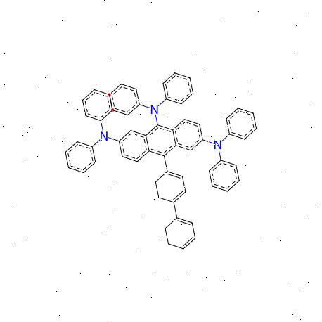 C1=CCCC(C2=CC=C(c3c4cc(N(c5ccccc5)c5ccccc5)ccc4c(N(c4ccccc4)c4ccccc4)c4cc(N(c5ccccc5)c5ccccc5)ccc34)CC2)=C1